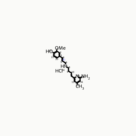 COc1cc(/C=C/CNCCCCc2cc(C)cc(N)n2)ccc1O.Cl